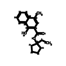 CCC1(OC(=O)c2cc(C)c3ccccc3c2O)CCCC1